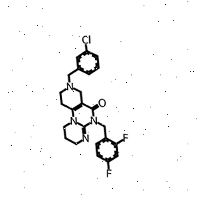 O=C1C2=C(CCN(Cc3cccc(Cl)c3)C2)N2CCCN=C2N1Cc1ccc(F)cc1F